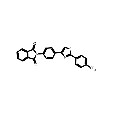 O=C1c2ccccc2C(=O)N1c1ccc(-c2csc(-c3ccc(C(F)(F)F)cc3)n2)cc1